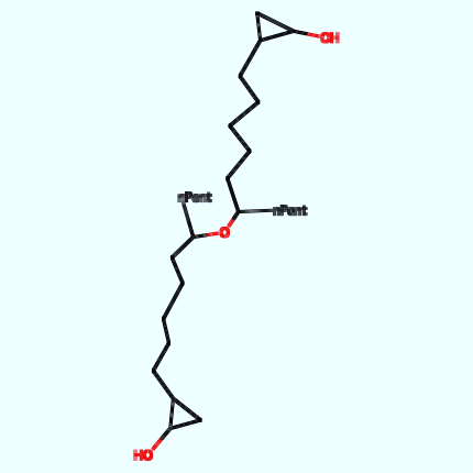 CCCCCC(CCCCCC1CC1O)OC(CCCCC)CCCCCC1CC1O